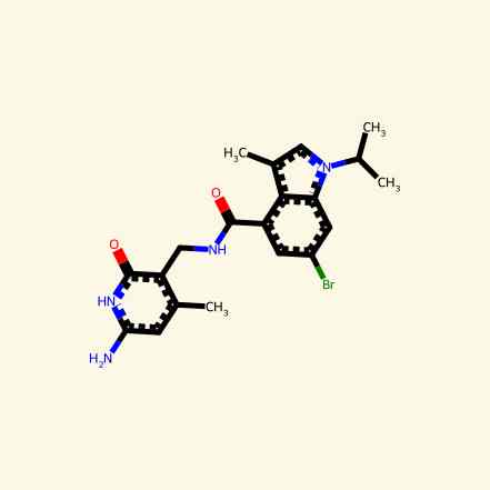 Cc1cc(N)[nH]c(=O)c1CNC(=O)c1cc(Br)cc2c1c(C)cn2C(C)C